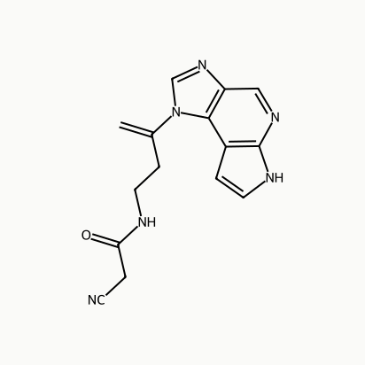 C=C(CCNC(=O)CC#N)n1cnc2cnc3[nH]ccc3c21